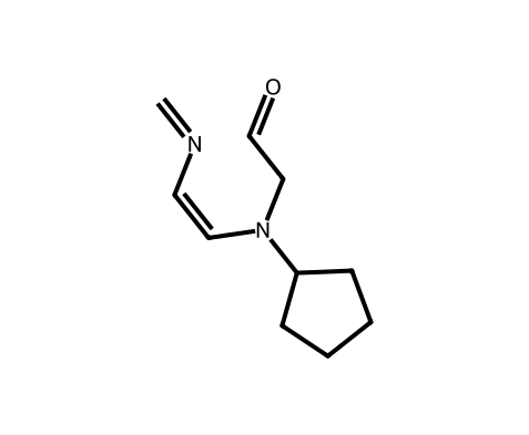 C=N/C=C\N(CC=O)C1CCCC1